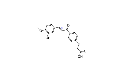 COc1ccc(/C=C/C(=O)c2ccc(OCC(=O)O)cc2)cc1O